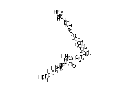 C.C.C.C.C.C.C.C.F.F.F.F.F.F.F.F.F.F.F.F.N=C=O.N=C=O